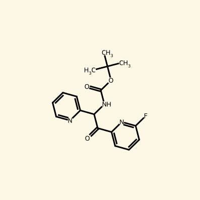 CC(C)(C)OC(=O)NC(C(=O)c1cccc(F)n1)c1ccccn1